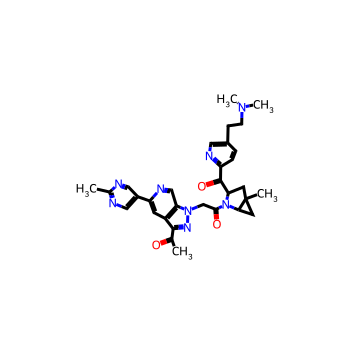 CC(=O)c1nn(CC(=O)N2C(C(=O)c3ccc(CCN(C)C)cn3)CC3(C)CC23)c2cnc(-c3cnc(C)nc3)cc12